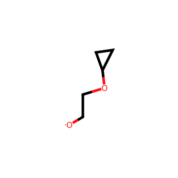 [O]CCOC1CC1